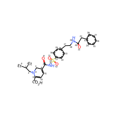 CCC(CC)CN1CC(C(=O)NS(=O)(=O)c2ccc(CCNC(=O)Cc3ccccc3)cc2)=CC=C1C(=O)O